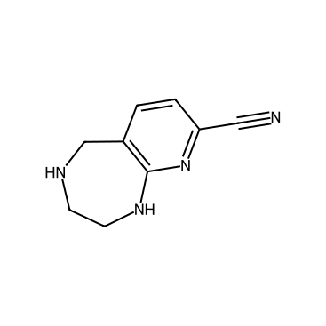 N#Cc1ccc2c(n1)NCCNC2